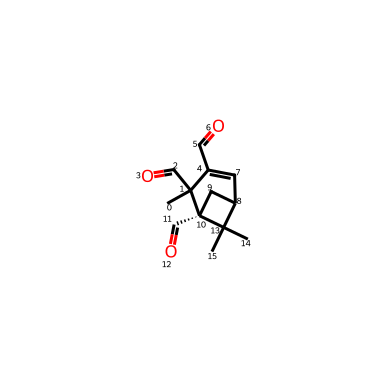 CC1(C=O)C(C=O)=CC2C[C@@]1(C=O)C2(C)C